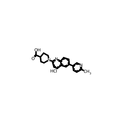 Cc1ccc(-c2ccc3nc(N4CCC(C(=O)O)CC4)ccc3c2)cn1.Cl